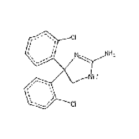 NC1=NC(c2ccccc2Cl)(c2ccccc2Cl)CN1